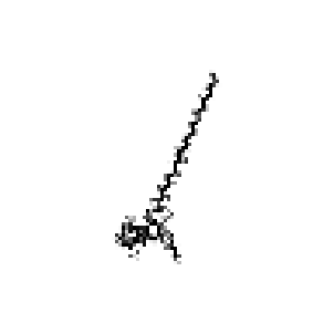 CCC=CCC=CCC=CCC=CCC=CCC=CCCC(=O)Oc1cc(OCCC)cc(O[Si](C(C)C)(C(C)C)C(C)C)c1